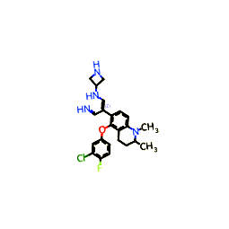 CC1CCc2c(ccc(/C(C=N)=C/NC3CNC3)c2Oc2ccc(F)c(Cl)c2)N1C